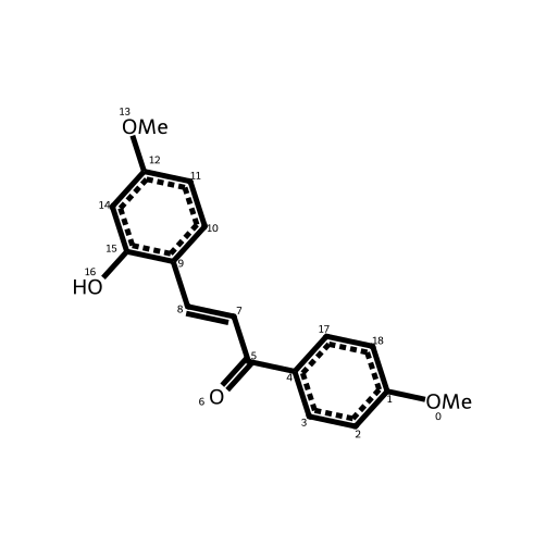 COc1ccc(C(=O)/C=C/c2ccc(OC)cc2O)cc1